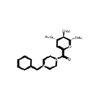 CC(=O)O[C@@H]1OC(C(=O)N2CCN(CC3CCCCC3)CC2)=C[C@H](OC(C)=O)[C@H]1OC(C)=O